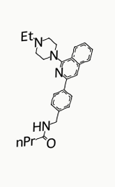 CCCC(=O)NCc1ccc(-c2cc3ccccc3c(N3CCN(CC)CC3)n2)cc1